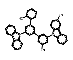 N#Cc1cc(-c2cc(-c3ccccc3C#N)cc(-n3c4ccccc4c4ccccc43)c2)cc(-n2c3ccccc3c3cc(C#N)ccc32)c1